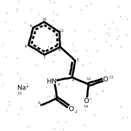 CC(=O)NC(=Cc1ccccc1)C(=O)[O-].[Na+]